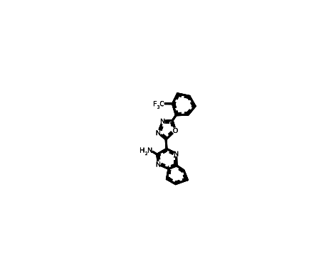 Nc1nc2ccccc2nc1-c1nnc(-c2ccccc2C(F)(F)F)o1